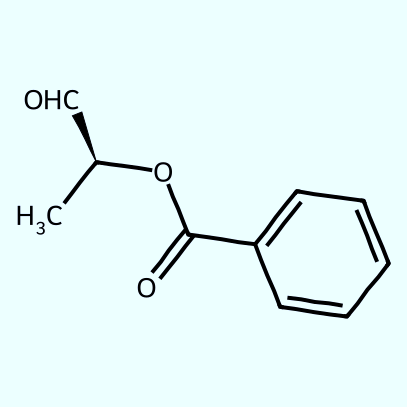 C[C@@H](C=O)OC(=O)c1ccccc1